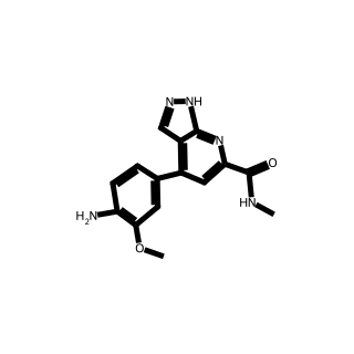 CNC(=O)c1cc(-c2ccc(N)c(OC)c2)c2cn[nH]c2n1